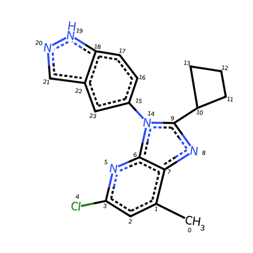 Cc1cc(Cl)nc2c1nc(C1CCC1)n2-c1ccc2[nH]ncc2c1